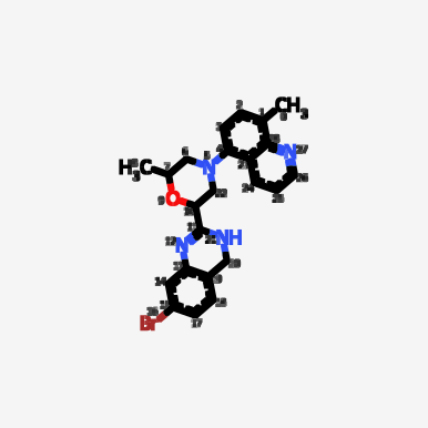 Cc1ccc(N2CC(C)OC(C3=Nc4cc(Br)ccc4CN3)C2)c2cccnc12